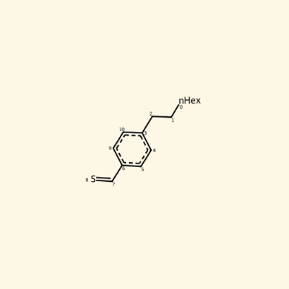 CCCCCCCCc1ccc(C=S)cc1